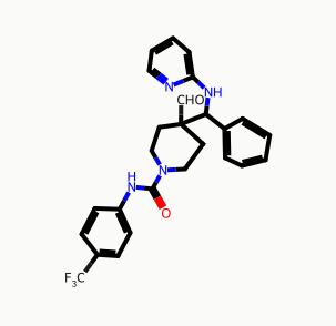 O=CC1(C(Nc2ccccn2)c2ccccc2)CCN(C(=O)Nc2ccc(C(F)(F)F)cc2)CC1